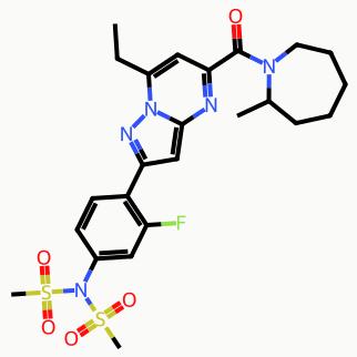 CCc1cc(C(=O)N2CCCCCC2C)nc2cc(-c3ccc(N(S(C)(=O)=O)S(C)(=O)=O)cc3F)nn12